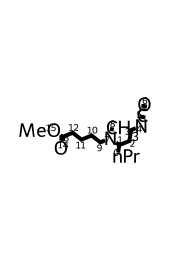 CCCC(CCN=C=O)N(C)CCCCC(=O)OC